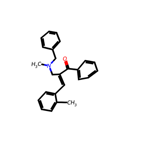 Cc1ccccc1/C=C(\CN(C)Cc1ccccc1)C(=O)c1ccccc1